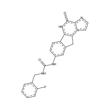 O=C(NCc1ccccc1F)Nc1ccc2c(c1)Cc1c-2[nH]c(=O)c2nccn12